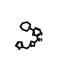 c1csc(CN2CC(Nc3nccc(N4CCCCCC4)n3)C2)c1